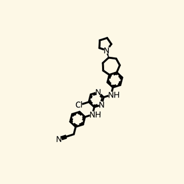 N#CCc1cccc(Nc2nc(Nc3ccc4c(c3)CC[C@@H](N3CCCC3)CC4)ncc2Cl)c1